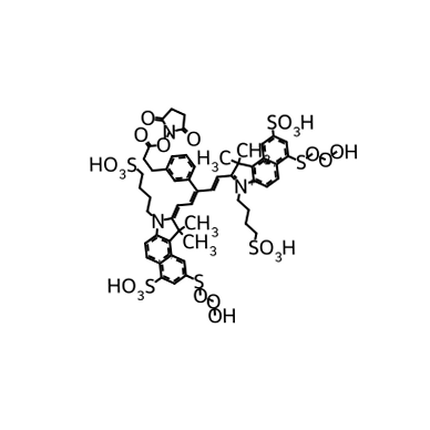 CC1(C)C(/C=C/C(=C/C=C2/N(CCCCS(=O)(=O)O)c3ccc4c(S(=O)(=O)O)cc(SOOO)cc4c3C2(C)C)c2cccc(CCC(=O)ON3C(=O)CCC3=O)c2)=[N+](CCCCS(=O)(=O)O)c2ccc3c(SOOO)cc(S(=O)(=O)O)cc3c21